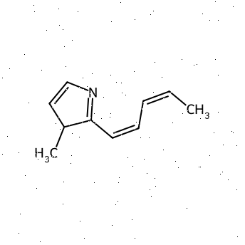 C/C=C\C=C/C1=NC=CC1C